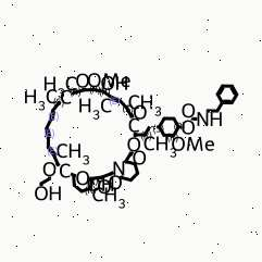 CO[C@@H]1C[C@H](C[C@@H](C)C2CC(=O)[C@@H](C)/C=C(\C)[C@@H](O)[C@@H](OC)C(=O)[C@H](C)C[C@H](C)/C=C/C=C/C=C(\C)C(OCCO)CC3CC[C@@H](C)[C@@](O)(O3)C(=O)C(=O)N3CCCCC3C(=O)O2)CC[C@H]1OC(=O)NCCc1ccccc1